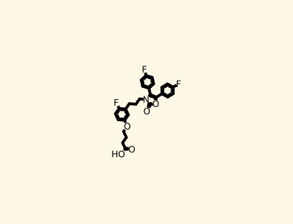 O=C(O)CCCOc1ccc(F)c(CCCn2c(-c3ccc(F)cc3)c(-c3ccc(F)cc3)oc2=O)c1